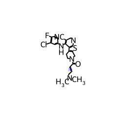 CN(C)C/C=C/C(=O)N1CCc2c(sc3ncc(C#N)c(Nc4ccc(F)c(Cl)c4)c23)C1